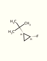 CC(C)(C)[C@H]1C[C@H]1F